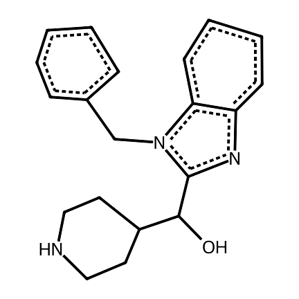 OC(c1nc2ccccc2n1Cc1ccccc1)C1CCNCC1